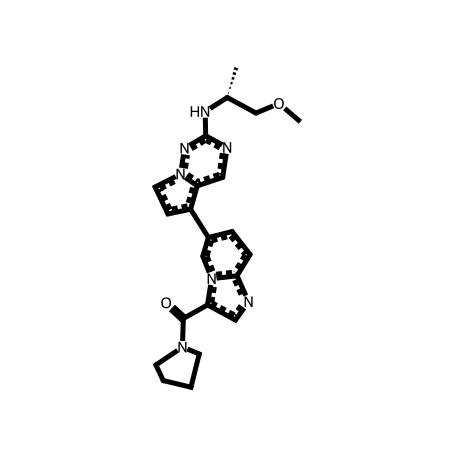 COC[C@@H](C)Nc1ncc2c(-c3ccc4ncc(C(=O)N5CCCC5)n4c3)ccn2n1